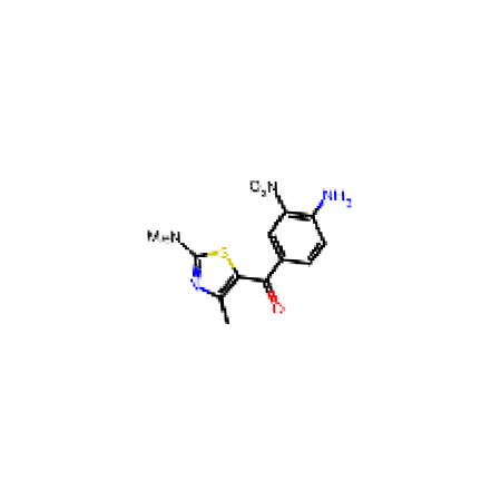 CNc1nc(C)c(C(=O)c2ccc(N)c([N+](=O)[O-])c2)s1